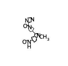 Cn1cc(C2CCN(C(=O)c3cnccn3)CC2)c2cc(NC=O)ccc21